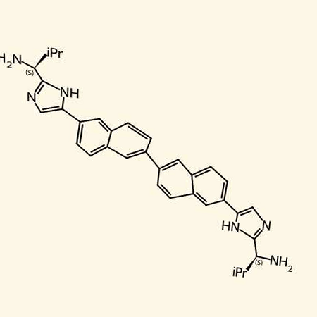 CC(C)[C@H](N)c1ncc(-c2ccc3cc(-c4ccc5cc(-c6cnc([C@@H](N)C(C)C)[nH]6)ccc5c4)ccc3c2)[nH]1